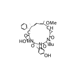 CC[C@H](C)[C@H]1C(=O)N[C@H](Cc2ccc(O)cc2)C(=O)N[C@@H](C(C)(C)O)C(=O)C[C@H](c2ccccc2)[C@H](C)/C=C/C=C(\C)[C@H](OC)C[C@@H]2C[C@@]2(C)C(=O)N1C